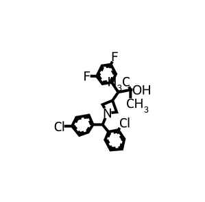 CC(C)(O)C(c1cc(F)cc(F)c1)C1CN(C(c2ccc(Cl)cc2)c2ccccc2Cl)C1